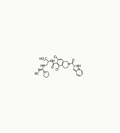 N#C/N=C(/NC[C@H](NC(=O)c1c(Cl)cc2c(c1Cl)CCN(C(=O)C1C=C3C=CC=CN3N1)C2)C(=O)O)N1CCCC1